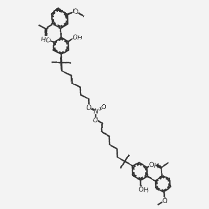 C=C(C)c1ccc(OC)cc1-c1c(O)cc(C(C)(C)CCCCCCO[N+](=O)OCCCCCCC(C)(C)c2cc(O)c(-c3cc(OC)ccc3C(=C)C)c(O)c2)cc1O